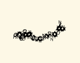 N#Cc1ccc(O[C@H]2CC[C@H](NC(=O)c3cnc(N4CCC(CN5CCN(c6ccc7c(c6)C(=O)N(C6CCC(=O)NC6=O)C7=O)CC5)CC4)nc3)CC2)c2cccnc12